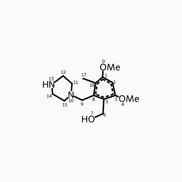 COc1cc(OC)c(CO)c(CN2CCNCC2)c1C